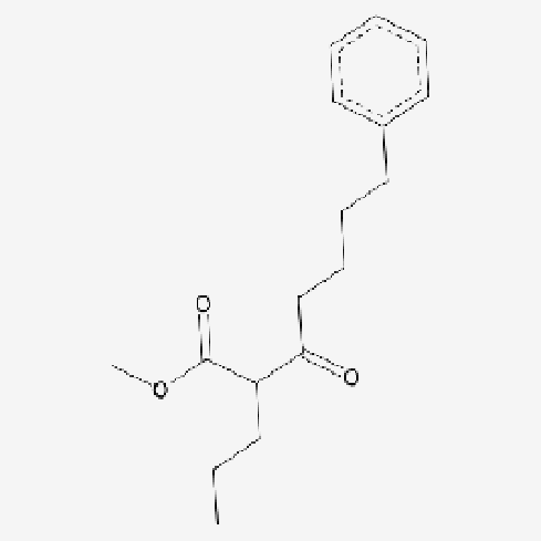 CCCC(C(=O)CCCCc1ccccc1)C(=O)OC